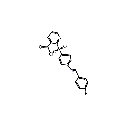 O=C(Cl)c1cccnc1S(=O)(=O)c1ccc(/C=C/c2ccc(F)cc2)cc1